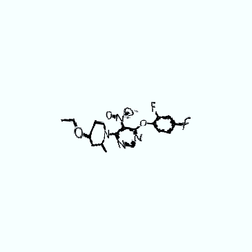 CCOC1CCN(c2ncnc(Oc3ccc(F)cc3F)c2[N+](=O)[O-])C(C)C1